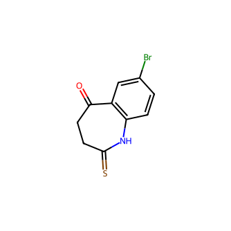 O=C1CCC(=S)Nc2ccc(Br)cc21